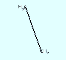 C=CCCCCCCCCCCCCCCCCCCCCCCCCCCCCCCCCCCCCCCCCCC